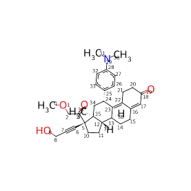 COCC(=O)[C@@]1(C#CCO)CC[C@H]2[C@@H]3CCC4=CC(=O)CCC4=C3[C@@H](c3ccc(N(C)C)cc3)C[C@@]21C